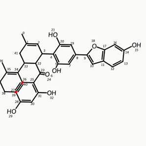 CC1=CC(c2c(O)cc(-c3cc4ccc(O)cc4o3)cc2O)C(C(=O)c2ccc(O)cc2O)C(C2=C(C)CCC=C2)C1